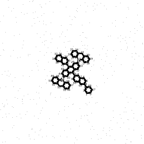 c1ccc(-c2ccc3cc(-c4c5ccc(N6c7ccccc7Cc7ccccc76)cc5c(-c5ccc6ccccc6c5)c5ccc(N6c7ccccc7Cc7ccccc76)cc45)ccc3c2)cc1